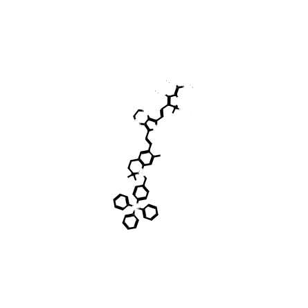 Cc1cc2c(cc1/C=C/c1sc(/C=C/C3=C(C#N)C(=C(C#N)C#N)OC3(C)C(F)(F)F)c3c1OCCO3)CCC(C)(C)N2Cc1ccc([Si](c2ccccc2)(c2ccccc2)c2ccccc2)cc1